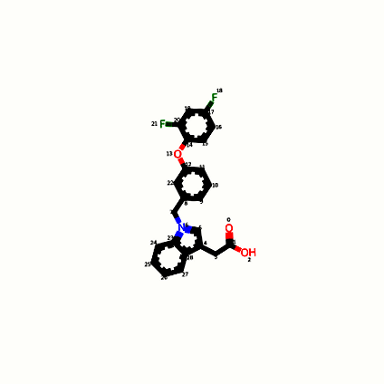 O=C(O)Cc1cn(Cc2cccc(Oc3ccc(F)cc3F)c2)c2ccccc12